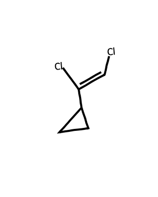 ClC=C(Cl)C1CC1